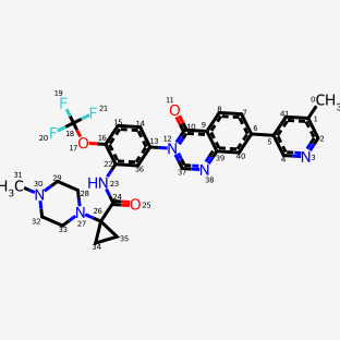 Cc1cncc(-c2ccc3c(=O)n(-c4ccc(OC(F)(F)F)c(NC(=O)C5(N6CCN(C)CC6)CC5)c4)cnc3c2)c1